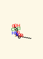 CCCCCCCCCCC(OC)c1cccc(-c2csc(NC(=O)c3cc(Cl)c(/C=C(\C)C(=O)O)c(Cl)c3)n2)c1OC